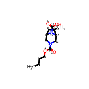 CCCCOC(=O)N1CC2CC(C)C(C1)N2C(=O)O